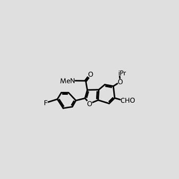 CNC(=O)c1c(-c2ccc(F)cc2)oc2cc(C=O)c(OC(C)C)cc12